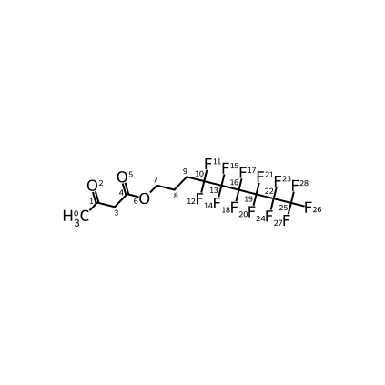 CC(=O)CC(=O)OCCCC(F)(F)C(F)(F)C(F)(F)C(F)(F)C(F)(F)C(F)(F)F